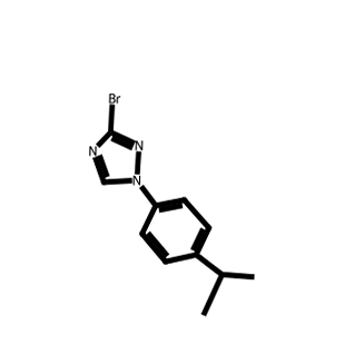 CC(C)c1ccc(-n2cnc(Br)n2)cc1